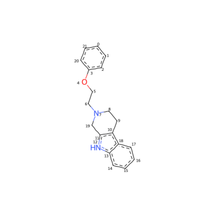 c1ccc(OCCN2CCc3c([nH]c4ccccc34)C2)cc1